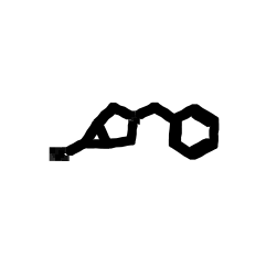 N#CC1C2CN(Cc3ccccc3)CC12